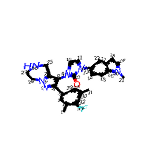 Cc1cc(-c2nn3c(c2-n2ccn(-c4ccc5c(ccn5C)c4)c2=O)CNCC3)cc(C)c1F